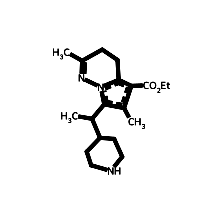 CCOC(=O)c1c(C)c(C(C)C2CCNCC2)n2c1CCC(C)=N2